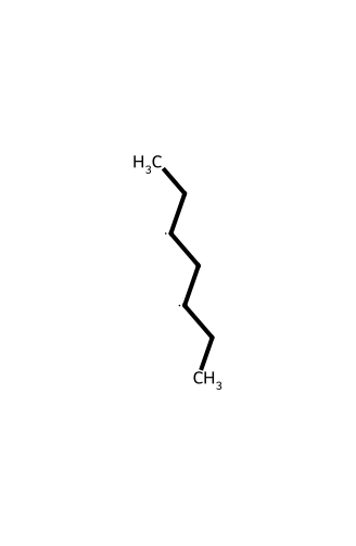 CC[CH]C[CH]CC